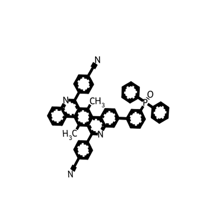 Cc1c2c(-c3ccc(C#N)cc3)nc3cc(-c4cccc(P(=O)(c5ccccc5)c5ccccc5)c4)ccc3c2c(C)c2c(-c3ccc(C#N)cc3)nc3ccccc3c12